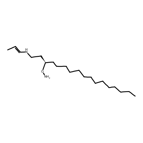 CC=CNCC[C@@H](CCCCCCCCCCCCCC)ON